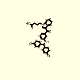 O=C(O)CCCn1cc(C(=O)c2cccc(NC(c3ccc(Cl)cc3)c3ccc(Cl)cc3)c2)c2ccccc21